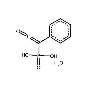 O.O=C=C(c1ccccc1)P(=O)(O)O